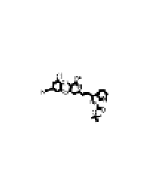 COc1nc(/C=C/c2nn(C(=O)OC(C)(C)C)c3ncccc23)cc(Oc2cc(Cl)cc(C#N)c2)c1Cl